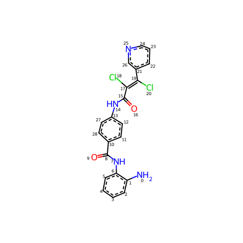 Nc1ccccc1NC(=O)c1ccc(NC(=O)C(Cl)=C(Cl)c2cccnc2)cc1